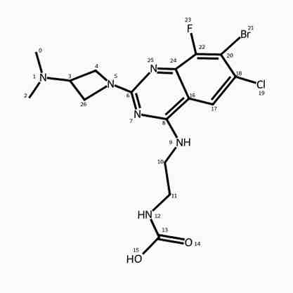 CN(C)C1CN(c2nc(NCCNC(=O)O)c3cc(Cl)c(Br)c(F)c3n2)C1